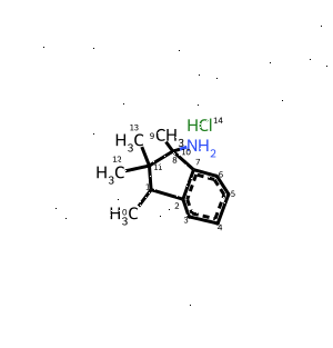 CC1c2ccccc2C(C)(N)C1(C)C.Cl